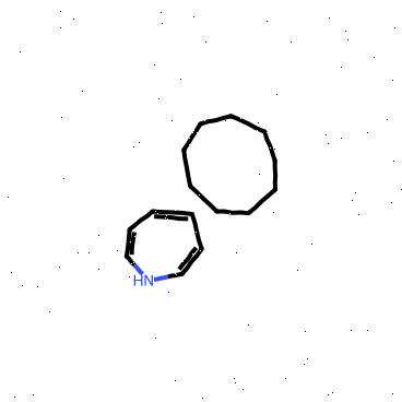 C1=CC=CNC=C1.C1CCCCCCCC1